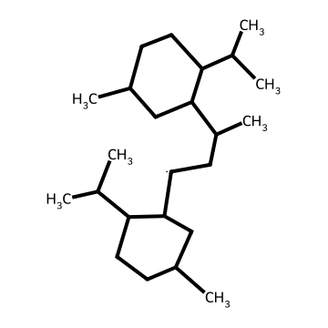 CC1CCC(C(C)C)C([CH]CC(C)C2CC(C)CCC2C(C)C)C1